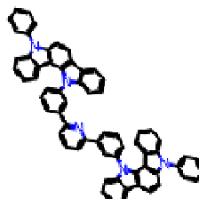 c1ccc(-n2c3ccccc3c3c2ccc2c4ccccc4n(-c4cccc(-c5cccc(-c6cccc(-n7c8ccccc8c8ccc9c(c%10ccccc%10n9-c9ccccc9)c87)c6)n5)c4)c23)cc1